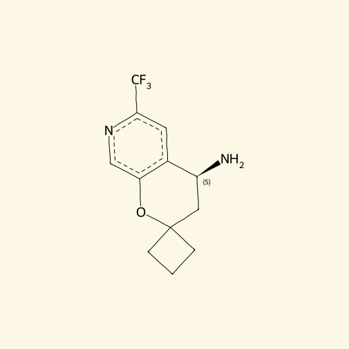 N[C@H]1CC2(CCC2)Oc2cnc(C(F)(F)F)cc21